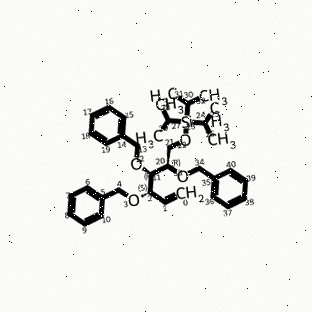 C=C[C@H](OCc1ccccc1)[C@@H](OCc1ccccc1)[C@@H](CO[Si](C(C)C)(C(C)C)C(C)C)OCc1ccccc1